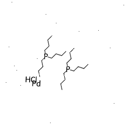 CCCCP(CCCC)CCCC.CCCCP(CCCC)CCCC.Cl.[Pd]